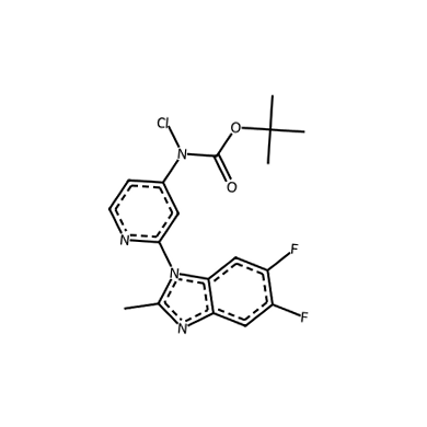 Cc1nc2cc(F)c(F)cc2n1-c1cc(N(Cl)C(=O)OC(C)(C)C)ccn1